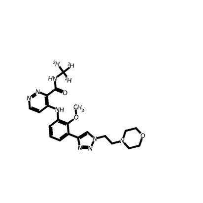 [2H]C([2H])([2H])NC(=O)c1nnccc1Nc1cccc(-c2cn(CCN3CCOCC3)nn2)c1OC